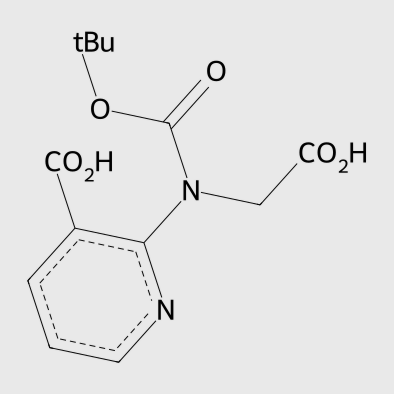 CC(C)(C)OC(=O)N(CC(=O)O)c1ncccc1C(=O)O